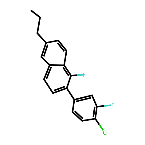 CCCc1ccc2c(F)c(-c3ccc(Cl)c(F)c3)ccc2c1